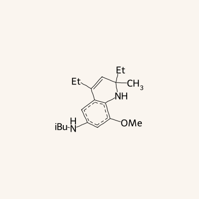 CCC1=CC(C)(CC)Nc2c(OC)cc(NC(C)CC)cc21